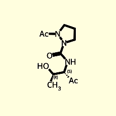 CC(=O)[C@@H](NC(=O)N1CCCN1C(C)=O)[C@@H](C)O